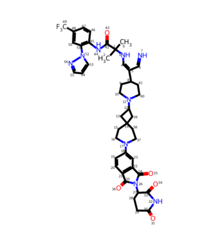 CC(C)(N/C=C(\C=N)C1CCN(C2CC3(CCN(c4ccc5c(c4)C(=O)N(C4CCC(=O)NC4=O)C5=O)CC3)C2)CC1)C(=O)Nc1ccc(C(F)(F)F)cc1-n1cccn1